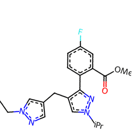 COC(=O)c1cc(F)ccc1-c1nn(C(C)C)cc1Cc1cnn(CC2CC2)c1